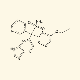 CCOc1cccc(C(c2cccnc2)(c2cnc3nc[nH]c3n2)S(N)(=O)=O)n1